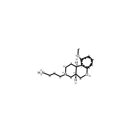 COc1cccc2c1[C@@H]1CCN(CCCN)C[C@H]1CO2